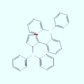 C1=CC(P(c2ccccc2)c2ccccc2)C(c2ccccc2P(c2ccccc2)c2ccccc2)=C1